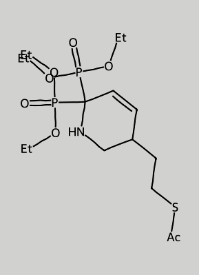 CCOP(=O)(OCC)C1(P(=O)(OCC)OCC)C=CC(CCSC(C)=O)CN1